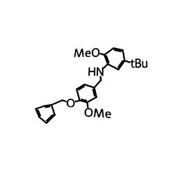 COc1ccc(C(C)(C)C)cc1NCc1ccc(OCc2ccccc2)c(OC)c1